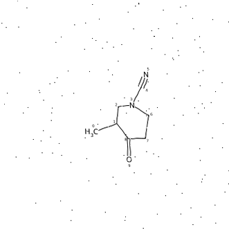 CC1CN(C#N)CCC1=O